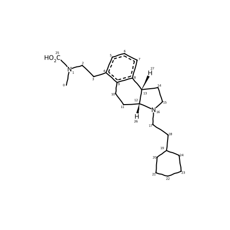 CN(CCc1cccc2c1CC[C@@H]1[C@H]2CCN1CCC1CCCCC1)C(=O)O